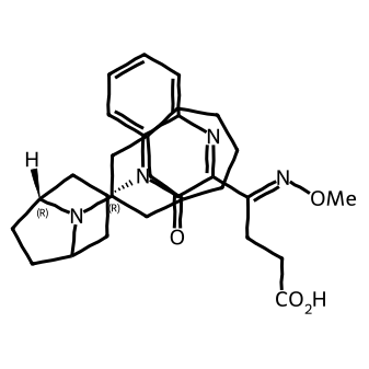 CON=C(CCC(=O)O)c1nc2ccccc2n([C@@H]2CC3CC[C@H](C2)N3C2CC3CCCCC(C3)C2)c1=O